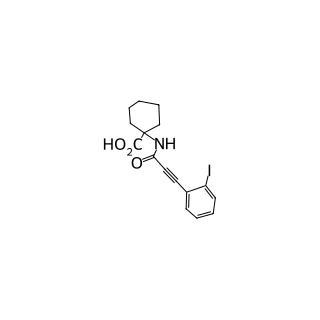 O=C(C#Cc1ccccc1I)NC1(C(=O)O)CCCCC1